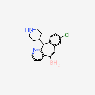 BC1=Cc2cc(Cl)ccc2C(C2CCNCC2)c2ncccc21